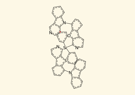 c1ccc([Si](c2ccccc2)(c2nccc3c2oc2c(-n4c5ccccc5c5cnccc54)cccc23)c2nccc3c2sc2c(-n4c5ccccc5c5ccccc54)cccc23)cc1